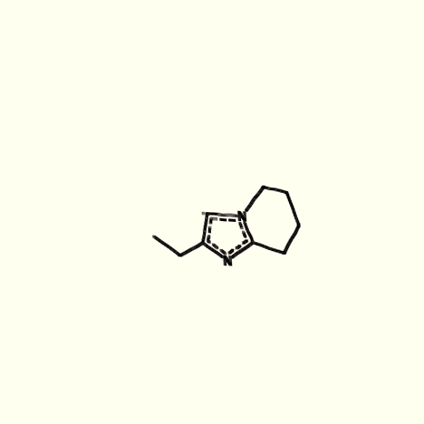 CCc1[c]n2c(n1)CCCC2